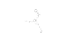 Cc1oc(-c2ccccc2)nc1CCOc1ccc(CCC(=O)O)cc1CNC(=O)CCCCc1cccs1